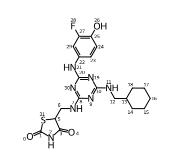 O=C1NC(=O)C(CNc2nc(NCC3CCCCC3)nc(Nc3ccc(O)c(F)c3)n2)S1